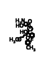 COCCCC[C@@](O)(c1cccc(F)c1Oc1ccc(C)cc1)[C@@H]1CCCN([C@@]2(C=O)C[C@@H](N)[C@@H](O)C2)C1